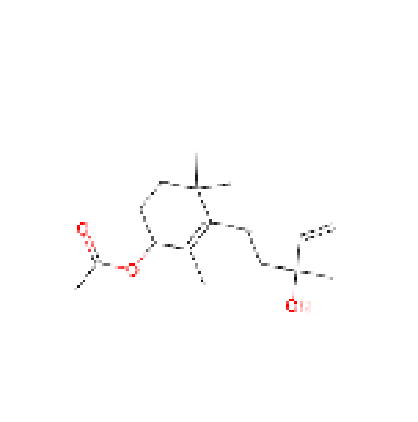 C=CC(C)(O)C[CH]C1=C(C)C(OC(C)=O)CCC1(C)C